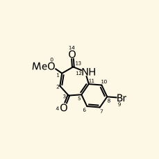 COc1cc(=O)c2ccc(Br)cc2[nH]c1=O